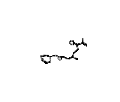 C=C(C)C(Cl)CCC(C)CCOCc1ccccc1